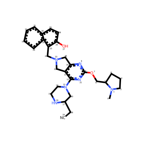 CN1CCCC1COc1nc2c(c(N3CCNC(CC#N)C3)n1)CN(Cc1c(O)ccc3ccccc13)C2